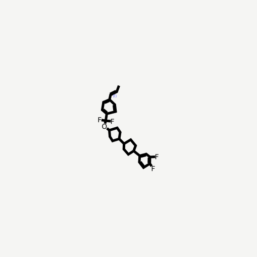 C/C=C/c1ccc(C(F)(F)OC2CCC(C3CCC(c4ccc(F)c(F)c4)CC3)CC2)cc1